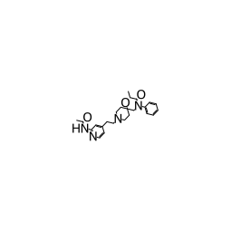 CC(=O)Nc1cc(CCN2CCC3(CC2)CN(c2ccccc2)C(=O)C(C)O3)ccn1